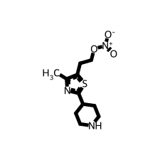 Cc1nc(C2CCNCC2)sc1CCO[N+](=O)[O-]